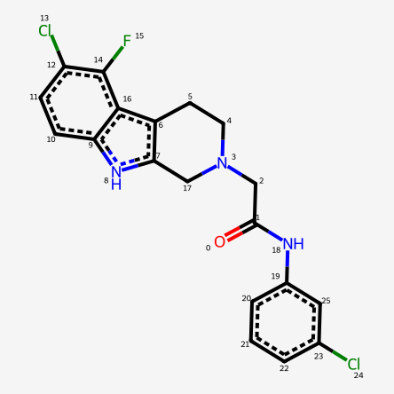 O=C(CN1CCc2c([nH]c3ccc(Cl)c(F)c23)C1)Nc1cccc(Cl)c1